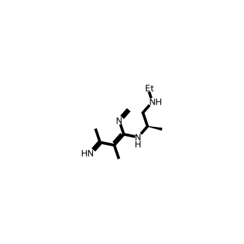 C=N/C(N[C@H](C)CNCC)=C(/C)C(C)=N